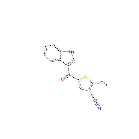 Cc1sc(C(=O)c2c[nH]c3ccccc23)cc1C#N